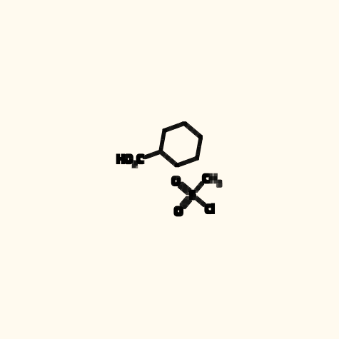 CS(=O)(=O)Cl.O=C(O)C1CCCCC1